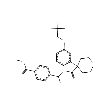 COC(=O)c1ccc(C(C)NC(=O)C2(c3cccc(OCC(F)(F)F)c3)CCOCC2)cc1